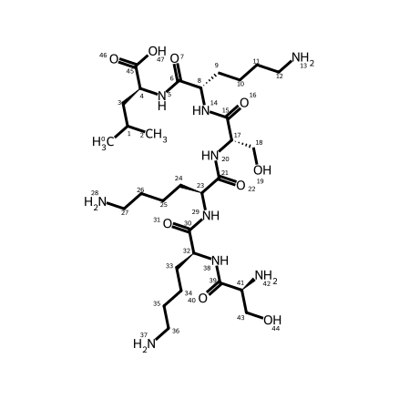 CC(C)C[C@H](NC(=O)[C@H](CCCCN)NC(=O)[C@H](CO)NC(=O)[C@H](CCCCN)NC(=O)[C@H](CCCCN)NC(=O)[C@@H](N)CO)C(=O)O